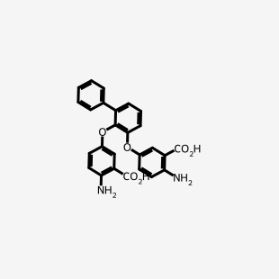 Nc1ccc(Oc2cccc(-c3ccccc3)c2Oc2ccc(N)c(C(=O)O)c2)cc1C(=O)O